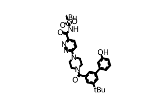 CC(C)(C)c1cc(C(=O)N2CCN(c3ccc(C(=O)NS(=O)(=O)C(C)(C)C)nn3)CC2)cc(-c2cccc(O)c2)c1